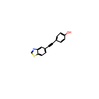 Oc1ccc(C#Cc2ccc3scnc3c2)cc1